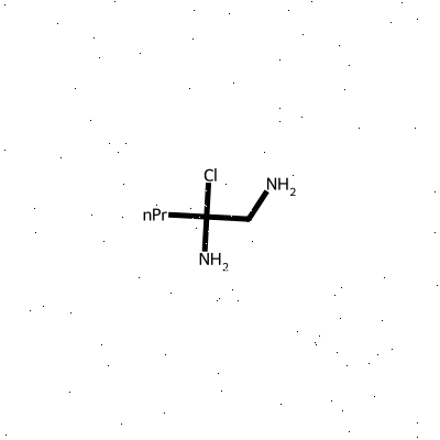 CCCC(N)(Cl)CN